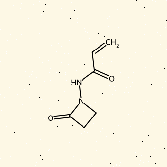 C=CC(=O)NN1CCC1=O